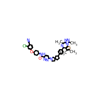 Cc1sc2c(c1C)C(c1ccc(C3CCC4(CCN(c5ccc(C(=O)NC6CCC(Oc7ccc(C#N)c(Cl)c7)CC6)nn5)C4)C3)cc1)=N[C@@H](C)c1nnc(C)n1-2